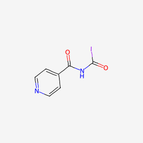 O=C(I)NC(=O)c1ccncc1